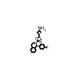 N[C@H]1C[C@H]([C@@H]2CN=C(N3CCc4ccccc4[C@@H]3c3ccc(F)cc3)O2)C1